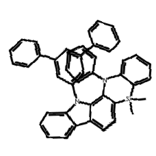 C[Si]1(C)c2ccccc2N(c2ccccc2)c2c1ccc1c3ccccc3n(-c3cc(-c4ccccc4)cc(-c4ccccc4)c3)c21